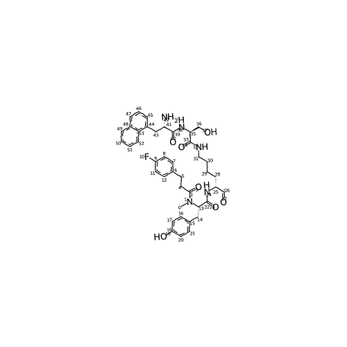 CN(C(=O)CCc1ccc(F)cc1)[C@@H](Cc1ccc(O)cc1)C(=O)N[C@@H]([C]=O)CCCCNC(=O)[C@H](CO)NC(=O)[C@@H](N)Cc1cccc2ccccc12